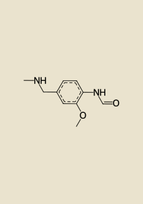 CNCc1ccc(NC=O)c(OC)c1